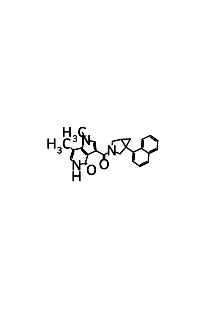 Cc1c[nH]c(=O)c2c(C(=O)N3CC4CC4(c4cccc5ccccc45)C3)cn(C)c12